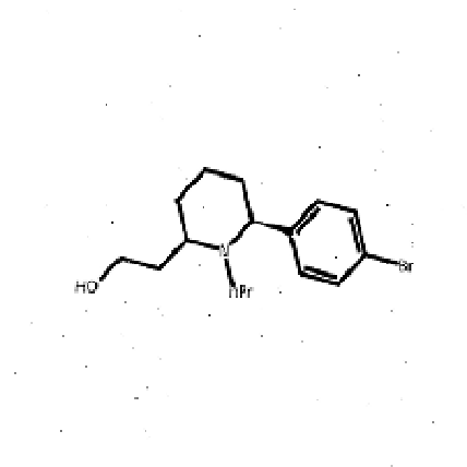 CCCN1C(CCO)CCC[C@H]1c1ccc(Br)cc1